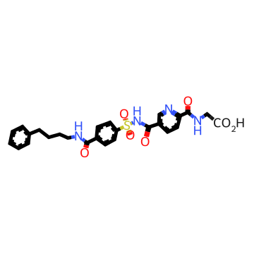 O=C(O)CNC(=O)c1ccc(C(=O)NS(=O)(=O)c2ccc(C(=O)NCCCCc3ccccc3)cc2)cn1